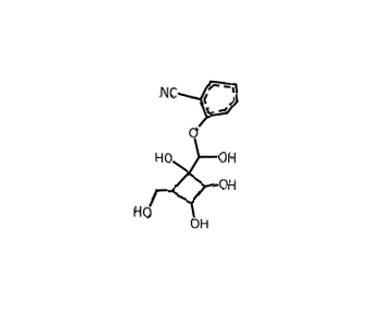 N#Cc1ccccc1OC(O)C1(O)C(O)C(O)C1CO